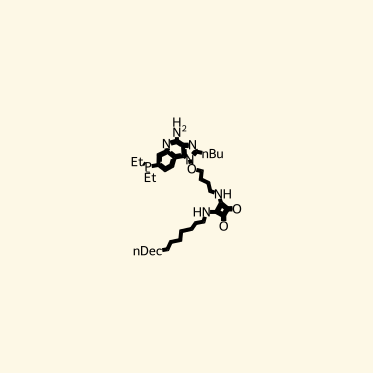 CCCCCCCCCCCCCCCCCNc1c(NCCCCOn2c(CCCC)nc3c(N)nc4cc(P(CC)CC)ccc4c32)c(=O)c1=O